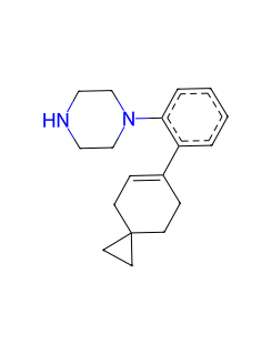 C1=C(c2ccccc2N2CCNCC2)CCC2(C1)CC2